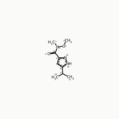 CON(C)C(=O)c1cc(C(C)C)[nH]n1